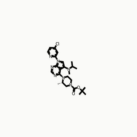 CC(C)N(C)c1cn(-c2cc(Cl)ccn2)c2ncnc(N3CCN(C(=O)OC(C)(C)C)C[C@@H]3C)c12